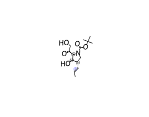 C/C=C/[C@H]1CN(C(=O)OC(C)(C)C)[C@H](C(=O)CO)[C@@H]1O